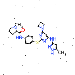 Cc1cc(Nc2cc(N3CCC3)nc(Sc3ccc(NC(=O)C4CCCN4C)cc3)n2)n[nH]1